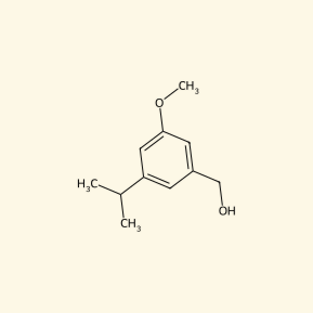 COc1cc(CO)cc(C(C)C)c1